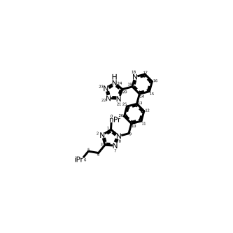 CCCc1nc(CCC(C)C)nn1Cc1ccc(-c2cccnc2-c2nnn[nH]2)cc1